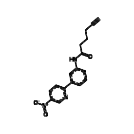 C#CCCCC(=O)Nc1cccc(-c2ccc([N+](=O)[O-])cn2)c1